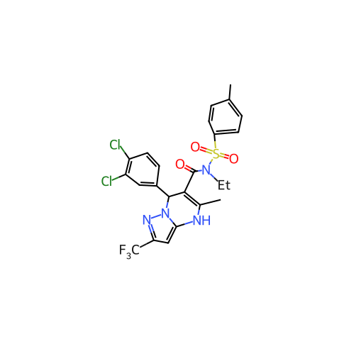 CCN(C(=O)C1=C(C)Nc2cc(C(F)(F)F)nn2C1c1ccc(Cl)c(Cl)c1)S(=O)(=O)c1ccc(C)cc1